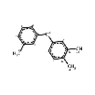 Cc1cccc(Oc2ccc(C)c(C#N)c2)c1